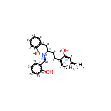 C=C/C=C(O)\C(=C/C)CCC(Cc1ccccc1O)/N=C/c1ccccc1O